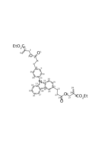 C=C(COC(=O)CCc1ccc(-n2c3ccccc3c3cc(CCC(=O)OCC(=C)C(=O)OCC)ccc32)cc1)C(=O)OCC